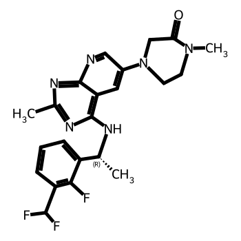 Cc1nc(N[C@H](C)c2cccc(C(F)F)c2F)c2cc(N3CCN(C)C(=O)C3)cnc2n1